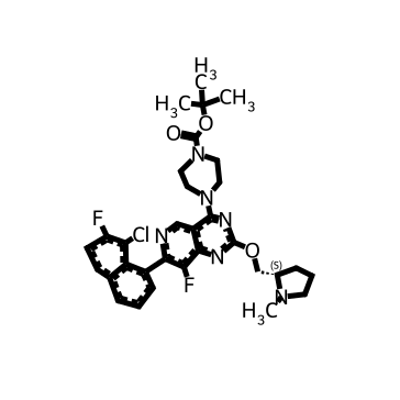 CN1CCC[C@H]1COc1nc(N2CCN(C(=O)OC(C)(C)C)CC2)c2cnc(-c3cccc4ccc(F)c(Cl)c34)c(F)c2n1